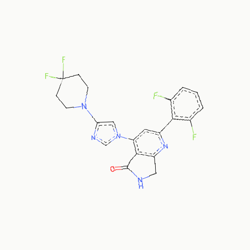 O=C1NCc2nc(-c3c(F)cccc3F)cc(-n3cnc(N4CCC(F)(F)CC4)c3)c21